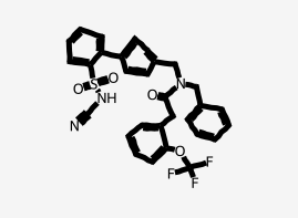 N#CNS(=O)(=O)c1ccccc1-c1ccc(CN(Cc2ccccc2)C(=O)Cc2ccccc2OC(F)(F)F)cc1